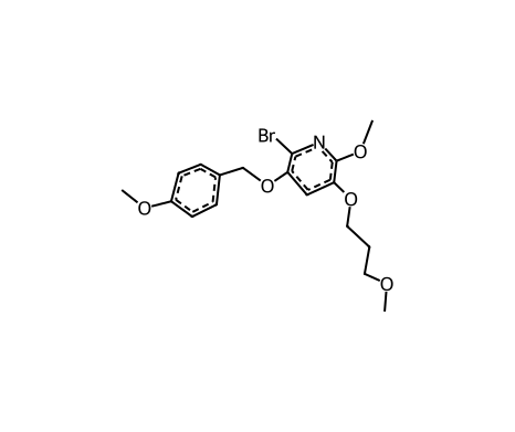 COCCCOc1cc(OCc2ccc(OC)cc2)c(Br)nc1OC